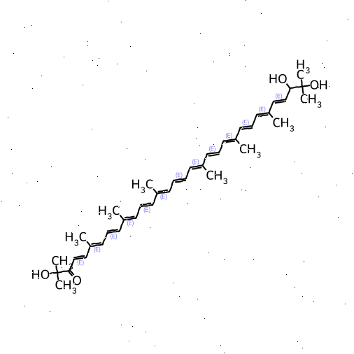 CC(/C=C/C=C(C)/C=C/C=C(C)/C=C/C(=O)C(C)(C)O)=C\C=C\C=C(C)\C=C\C=C(C)\C=C\C=C(C)\C=C\C(O)C(C)(C)O